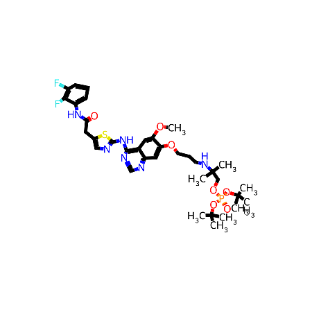 COc1cc2c(Nc3ncc(CC(=O)Nc4cccc(F)c4F)s3)ncnc2cc1OCCCNC(C)(C)COP(=O)(OC(C)(C)C)OC(C)(C)C